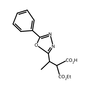 CCOC(=O)C(C(=O)O)C(C)c1nnc(-c2ccccc2)o1